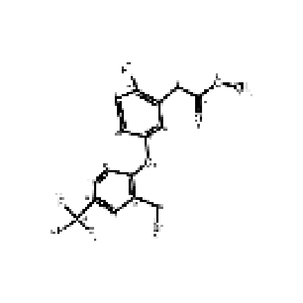 COC(=O)Cc1cc(Oc2ccc(C(F)(F)F)cc2CBr)ccc1Br